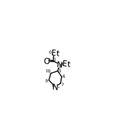 CCC(=O)N(CC)C1CC[N]CC1